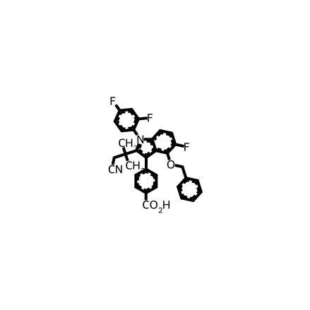 CC(C)(CC#N)c1c(-c2ccc(C(=O)O)cc2)c2c(OCc3ccccc3)c(F)ccc2n1-c1ccc(F)cc1F